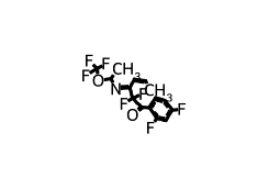 C/C=C\C(=N/C(C)OC(F)(F)F)C(F)(F)C(=O)c1ccc(F)cc1F